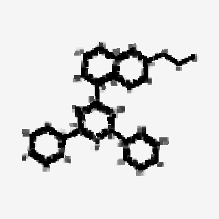 CCCc1ccc2c(-c3nc(-c4ccccc4)nc(-c4ccccc4)n3)cccc2c1